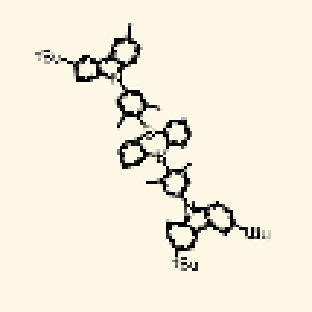 Cc1ccc2c(c1)c1cc(C(C)(C)C)ccc1n2-c1cc(C)c(B2c3ccccc3B(c3c(C)cc(-n4c5ccc(C(C)(C)C)cc5c5cc(C(C)(C)C)ccc54)cc3C)c3ccccc32)c(C)c1